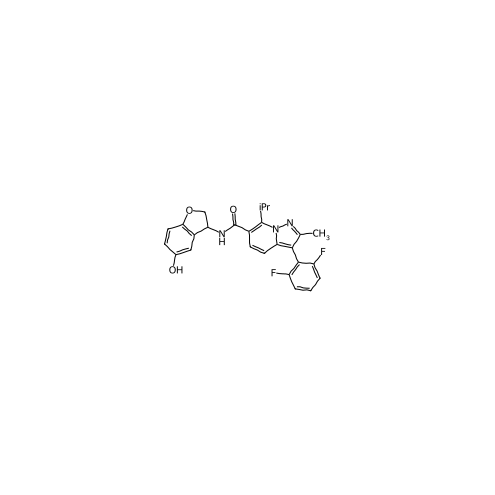 Cc1nn2c(C(C)C)c(C(=O)NC3COc4ccc(O)cc43)ccc2c1-c1c(F)cccc1F